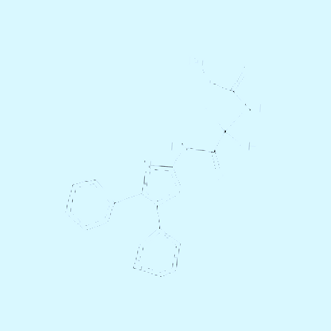 CC(C)(C)OC(=O)NC(C)(C)C(=O)Nc1nc(-c2ccccc2)c(-c2ccccc2)o1